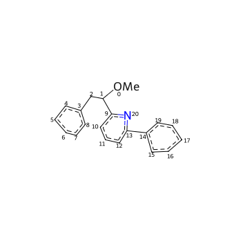 COC(Cc1ccccc1)c1cccc(-c2ccccc2)n1